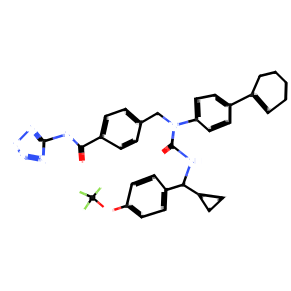 O=C(Nc1nn[nH]n1)c1ccc(CN(C(=O)NC(c2ccc(OC(F)(F)F)cc2)C2CC2)c2ccc(C3=CCCCC3)cc2)cc1